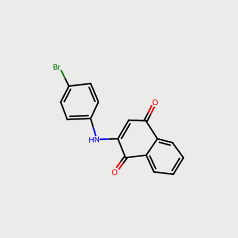 O=C1C=C(Nc2ccc(Br)cc2)C(=O)c2ccccc21